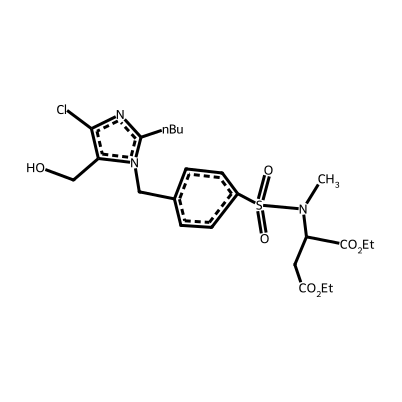 CCCCc1nc(Cl)c(CO)n1Cc1ccc(S(=O)(=O)N(C)C(CC(=O)OCC)C(=O)OCC)cc1